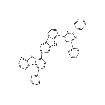 c1ccc(-c2nc(-c3ccccc3)nc(-c3cccc4c3oc3cc(-c5ccc(-c6ccccc6)c6c5sc5ccccc56)ccc34)n2)cc1